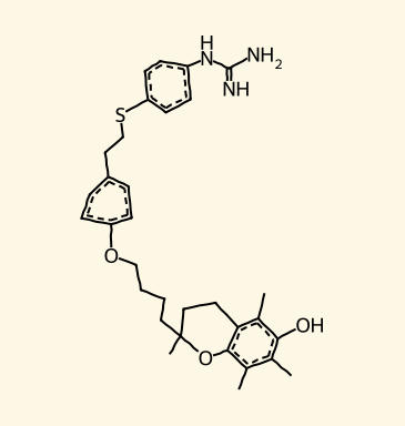 Cc1c(C)c2c(c(C)c1O)CCC(C)(CCCCOc1ccc(CCSc3ccc(NC(=N)N)cc3)cc1)O2